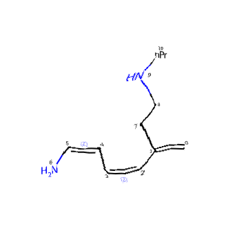 C=C(/C=C\C=C/N)CCNCCC